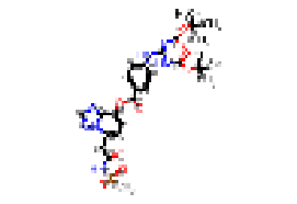 CC(C)(C)OC(=O)/N=C(\NC(=O)OC(C)(C)C)Nc1ccc(C(=O)Oc2ccc(CC(=O)NS(C)(=O)=O)n3ncnc23)cc1